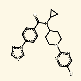 O=C(c1ccc(-n2cncn2)cc1)N(C1CC1)C1CCN(c2ncc(Cl)cn2)CC1